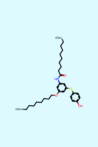 CCCCCCCCCCCCCCCCCCOc1cc(NC(=O)CCCCCCCCCCCCCCCCCC)cc(Sc2ccc(O)cc2)c1